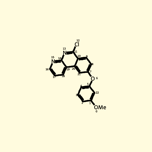 COc1cccc(Oc2ccc3c(Cl)nc4ncccc4c3c2)c1